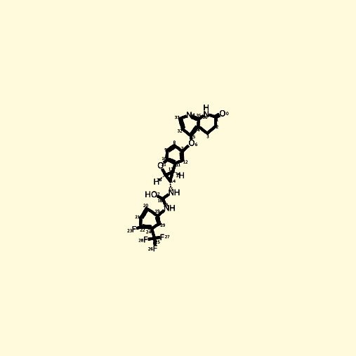 O=C1CCc2c(Oc3ccc4c(c3)[C@H]3[C@H](NC(O)Nc5ccc(F)c(C(F)(F)F)c5)[C@H]3O4)ccnc2N1